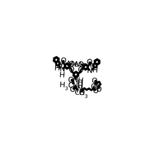 COc1cc2c(cc1OCc1cc(COc3cc4c(cc3OC)C(=O)N3c5ccccc5C[C@H]3CN4)cc(NC(=O)[C@@H](C)NC(=O)[C@H](C)NC(=O)CCCCC(=O)ON3C(=O)CCC3=O)c1)N=C[C@@H]1Cc3ccccc3N1C2=O